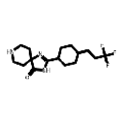 O=C1NC(C2CCC(CCC(F)(F)F)CC2)=NC12CCNCC2